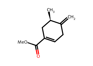 C=C1CC=C(C(=O)OC)C[C@H]1C